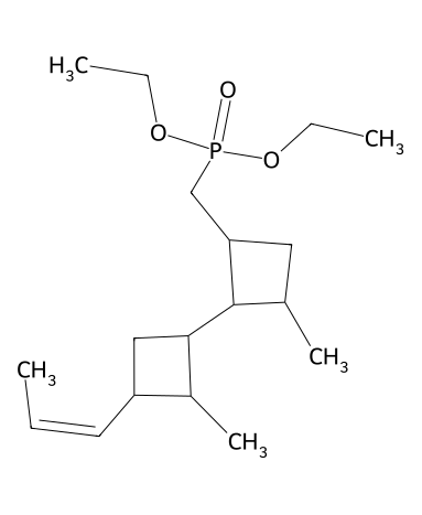 C/C=C\C1CC(C2C(C)CC2CP(=O)(OCC)OCC)C1C